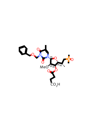 CO[C@@H]1[C@H](OC(=O)CCC(=O)O)[C@@H]([C@@H](C)CP(C)(C)=O)O[C@H]1n1cc(C)c(=O)n(COCc2ccccc2)c1=O